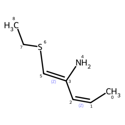 C/C=C\C(N)=C\SCC